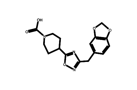 O=C(O)N1CCC(c2nc(Cc3ccc4c(c3)OCO4)no2)CC1